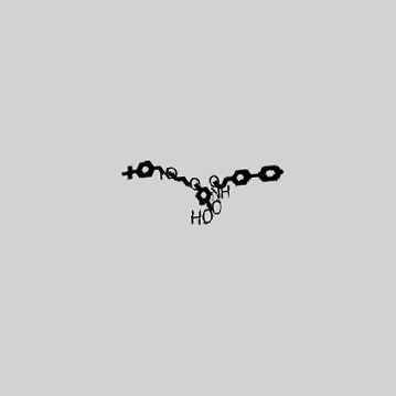 CC(C)(C)c1ccc(/C=N/OCCCOc2ccc(C(=O)O)c(NC(=O)/C=C/c3ccc(-c4ccccc4)cc3)c2)cc1